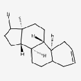 [Li][CH]1CC[C@H]2[C@@H]3CCC4CC=CC[C@@H]4[C@H]3CC[C@]12C